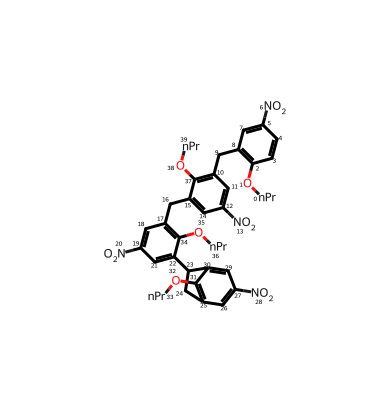 CCCOc1ccc([N+](=O)[O-])cc1Cc1cc([N+](=O)[O-])cc(Cc2cc([N+](=O)[O-])cc(C3Cc4cc([N+](=O)[O-])cc3c4OCCC)c2OCCC)c1OCCC